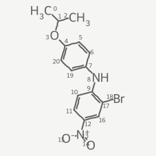 CC(C)Oc1ccc(Nc2ccc([N+](=O)[O-])cc2Br)cc1